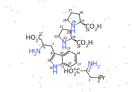 CC(C)CC(N)C(=O)O.NC(Cc1c[nH]c2ccccc12)C(=O)O.O=C(O)[C@@H]1CCCN1.O=C(O)[C@@H]1CCCN1